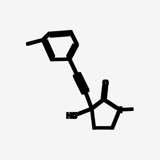 Cc1cccc(C#CC2(O)CCN(C)C2=O)c1